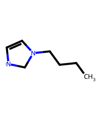 CCCCN1C=C[N]C1